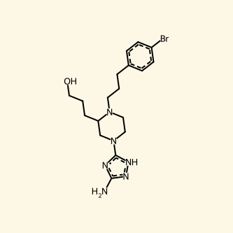 Nc1n[nH]c(N2CCN(CCCc3ccc(Br)cc3)C(CCCO)C2)n1